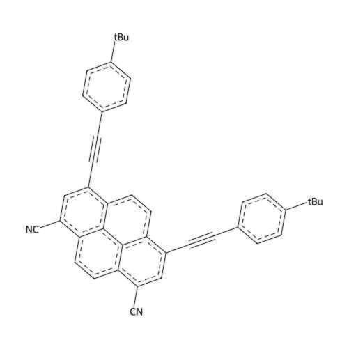 CC(C)(C)c1ccc(C#Cc2cc(C#N)c3ccc4c(C#N)cc(C#Cc5ccc(C(C)(C)C)cc5)c5ccc2c3c45)cc1